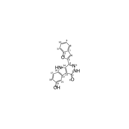 O=c1[nH]nc(-c2cc3ccccc3o2)c2[nH]c3ccc(O)cc3c12